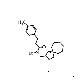 CCN(CC1CC2(CCCCCC2)CS1)C(=O)CCc1ccc(C)cc1